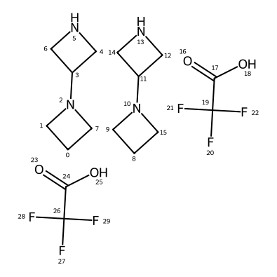 C1CN(C2CNC2)C1.C1CN(C2CNC2)C1.O=C(O)C(F)(F)F.O=C(O)C(F)(F)F